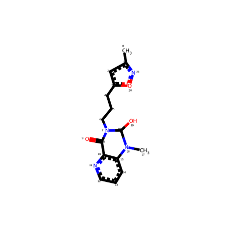 Cc1cc(CCCN2C(=O)c3ncccc3N(C)C2O)on1